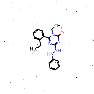 CCc1ccccc1-c1nc(NNc2ccccc2)nc(=O)n1CC